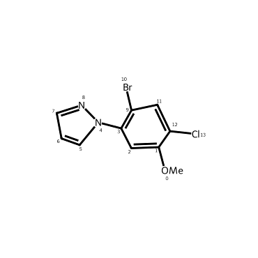 COc1cc(-n2cccn2)c(Br)cc1Cl